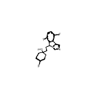 OC1(CCC2c3c(F)ccc(F)c3-c3cncn32)CCC(F)CC1